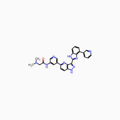 CN(C)CC(=O)Nc1cncc(-c2ccc3[nH]nc(-c4nc5c(-c6cccnc6)cccc5[nH]4)c3n2)c1